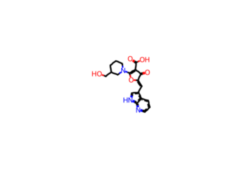 O=C(O)C1=C(N2CCCC(CO)C2)O/C(=C\c2c[nH]c3ncccc23)C1=O